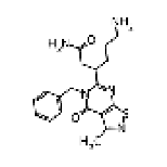 Cc1nsc2nc(C(CCCN)CC(N)=O)n(Cc3ccccc3)c(=O)c12